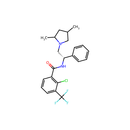 CC1CC(C)N(C[C@@H](NC(=O)c2cccc(C(F)(F)F)c2Cl)c2ccccc2)C1